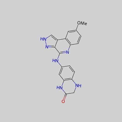 COc1ccc2nc(Nc3ccc4c(c3)NC(=O)CN4)c3n[nH]cc3c2c1